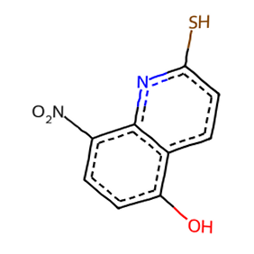 O=[N+]([O-])c1ccc(O)c2ccc(S)nc12